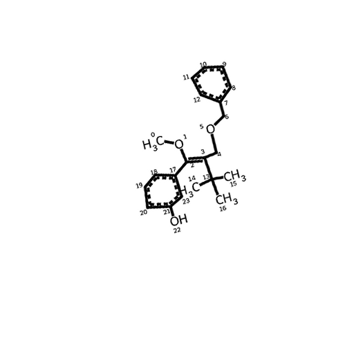 COC(=C(COCc1ccccc1)C(C)(C)C)c1cccc(O)c1